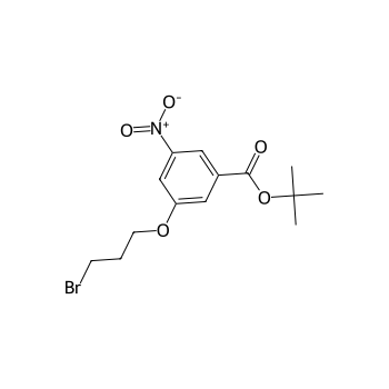 CC(C)(C)OC(=O)c1cc(OCCCBr)cc([N+](=O)[O-])c1